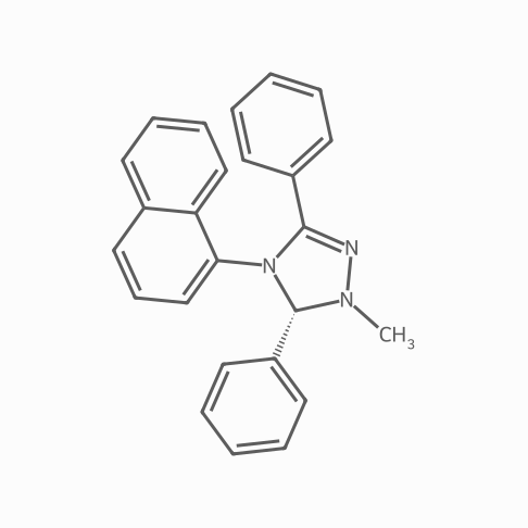 CN1N=C(c2ccccc2)N(c2cccc3ccccc23)[C@H]1c1ccccc1